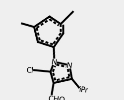 Cc1cc(C)cc(-n2nc(C(C)C)c(C=O)c2Cl)c1